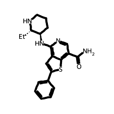 CC[C@@H]1NCCC[C@H]1Nc1ncc(C(N)=O)c2sc(-c3ccccc3)cc12